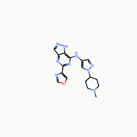 CN1CCC(n2cc(Nc3nc(-c4cocn4)nc4cn[nH]c34)cn2)CC1